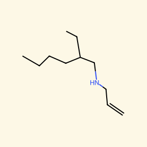 C=CCNCC(CC)CCCC